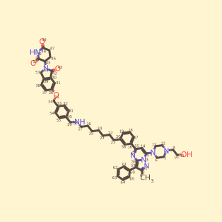 Cc1nn2c(N3CCN(CCO)CC3)cc(-c3cccc(CCCCCCCNCc4ccc(COc5ccc6c(c5)C(=O)N(C5CCC(=O)NC5=O)C6)cc4)c3)nc2c1-c1ccccc1